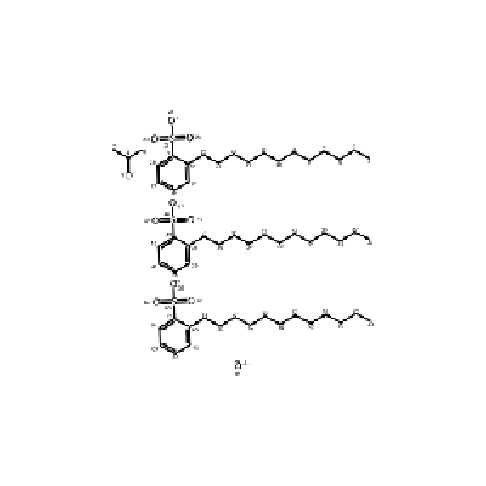 CC(C)[O-].CCCCCCCCCCCCc1ccccc1S(=O)(=O)[O-].CCCCCCCCCCCCc1ccccc1S(=O)(=O)[O-].CCCCCCCCCCCCc1ccccc1S(=O)(=O)[O-].[Zr+4]